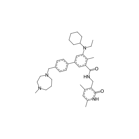 CCN(c1cc(-c2ccc(CN3CCCN(C)CC3)cc2)cc(C(=O)NCc2c(C)cc(C)[nH]c2=O)c1C)C1CCCCC1